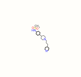 CS(=O)(=O)Nc1ccc(C2CCN(CCCc3ccncc3)CC2)cc1